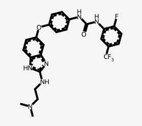 CN(C)CCNc1nc2cc(Oc3ccc(NC(=O)Nc4cc(C(F)(F)F)ccc4F)cc3)ccc2[nH]1